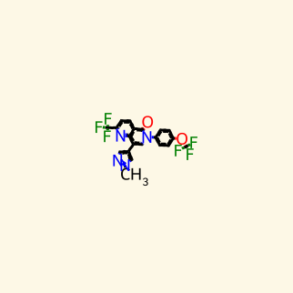 Cn1cc(-c2cn(-c3ccc(OC(F)(F)F)cc3)c(=O)c3ccc(C(F)(F)F)nc23)cn1